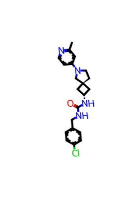 Cc1cc(N2CC[C@]3(C2)C[C@@H](NC(=O)NCc2ccc(Cl)cc2)C3)ccn1